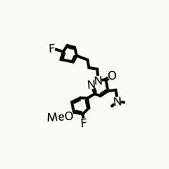 COc1ccc(-c2cc(CN(C)C)c(=O)n(CCCc3ccc(F)cc3)n2)cc1F